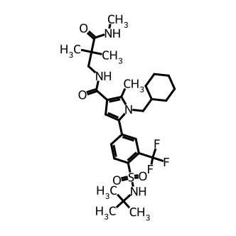 CNC(=O)C(C)(C)CNC(=O)c1cc(-c2ccc(S(=O)(=O)NC(C)(C)C)c(C(F)(F)F)c2)n(CC2CCCCC2)c1C